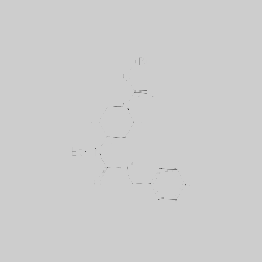 CCN(C(=O)OCc1ccccc1)C1CCN(C(=O)OC(C)(C)C)CC1